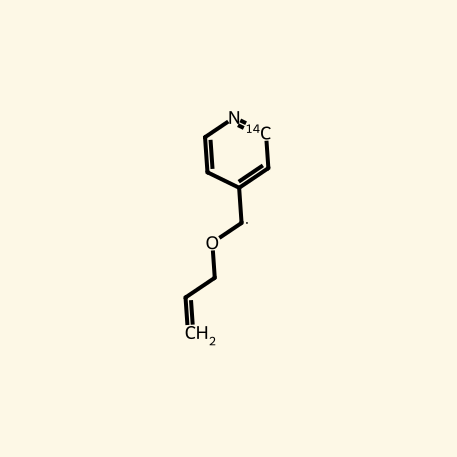 C=CCO[CH]c1ccn[14cH]c1